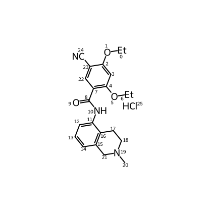 CCOc1cc(OCC)c(C(=O)Nc2cccc3c2CCN(C)C3)cc1C#N.Cl